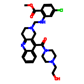 COC(=O)c1ccc(Cl)cc1NCN1CCc2nc3ccccc3c(C(=O)N3CCN(CCO)CC3)c2C1